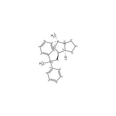 C[P@@]1O[C@H](C[Si](C)(c2ccccc2)c2ccccc2)[C@@H]2CCCN21